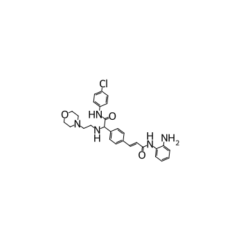 Nc1ccccc1NC(=O)C=Cc1ccc(C(NCCN2CCOCC2)C(=O)Nc2ccc(Cl)cc2)cc1